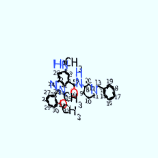 CNc1cc(C(=O)NC2CCCN(Cc3ccccc3)C2)c2c(c1)nc(-c1ccccc1OC)n2C